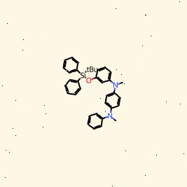 CN(c1ccccc1)c1ccc(N(C)c2cccc(O[Si](c3ccccc3)(c3ccccc3)C(C)(C)C)c2)cc1